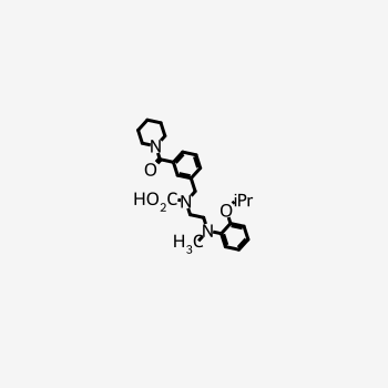 CC(C)Oc1ccccc1N(C)CCN(Cc1cccc(C(=O)N2CCCCC2)c1)C(=O)O